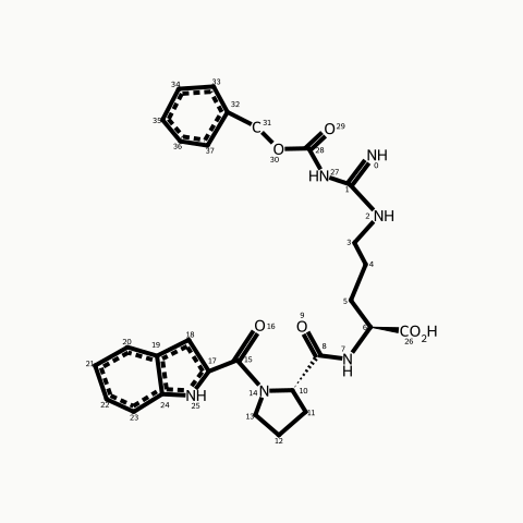 N=C(NCCC[C@H](NC(=O)[C@@H]1CCCN1C(=O)c1cc2ccccc2[nH]1)C(=O)O)NC(=O)OCc1ccccc1